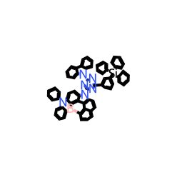 c1ccc(N2c3ccccc3B3c4cccc5ccc6c(c45)c4c3c2ccc4n6-c2nc(-c3cccc([Si](c4ccccc4)(c4ccccc4)c4ccccc4)c3)nc(-n3c4ccccc4c4ccccc43)n2)cc1